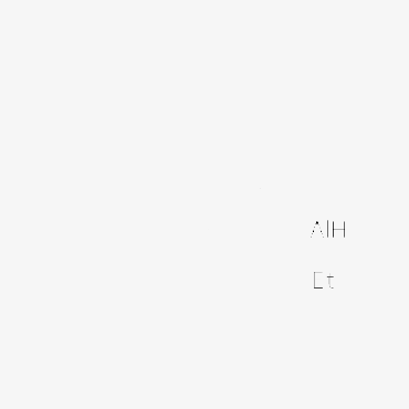 C[CH2][AlH][c]1ccc(C)cc1